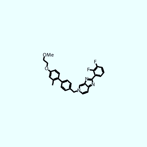 COCCOc1ccc(-c2ccc(Cn3ccc4nc(-c5cccc(F)c5F)nc-4c3)cc2)c(C)c1